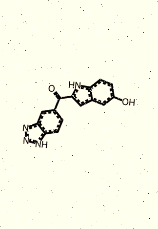 O=C(c1ccc2[nH]nnc2c1)c1cc2cc(O)ccc2[nH]1